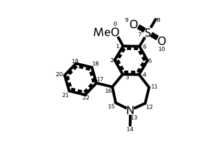 COc1cc2c(cc1S(C)(=O)=O)CCN(C)CC2c1ccccc1